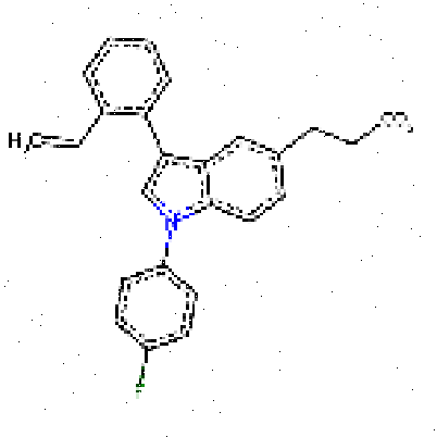 C=Cc1ccccc1-c1cn(-c2ccc(F)cc2)c2ccc(CCC(=O)O)cc12